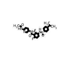 CC(=O)Nc1ccc(NC(=O)c2c(F)ccc(N[S+]([O-])c3ccc(C(C)C)cc3)c2F)cn1